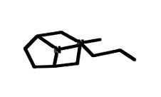 CCCCN1C2CCC1CN(C)C2